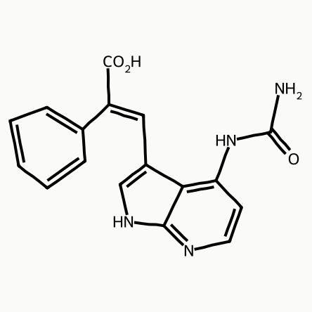 NC(=O)Nc1ccnc2[nH]cc(/C=C(/C(=O)O)c3ccccc3)c12